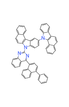 c1ccc(-c2ccc(-c3nc(-n4c5ccc(-n6c7ccccc7c7ccc8ccccc8c76)cc5c5c6ccccc6ccc54)nc4ccccc34)c3ccccc23)cc1